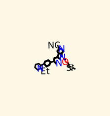 CCN1CCCCC1c1ccc(-c2cnc3c(c2)c2cc(C#N)ncc2n3COCC[Si](C)(C)C)cc1